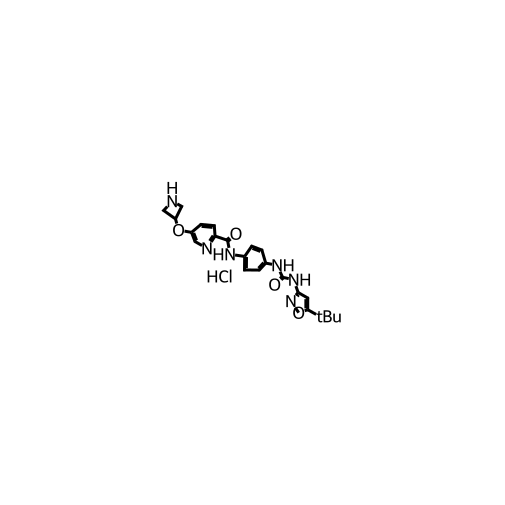 CC(C)(C)c1cc(NC(=O)Nc2ccc(NC(=O)c3ccc(OC4CNC4)cn3)cc2)no1.Cl